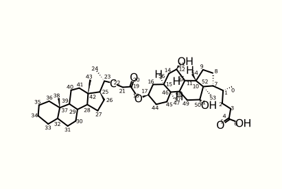 C[C@H](CCC(=O)O)[C@H]1CC[C@H]2[C@@H]3[C@H](O)C[C@@H]4C[C@H](OC(=O)CC[C@@H](C)[C@H]5CCC6C7CCC8CCCC[C@]8(C)C7CC[C@@]65C)CC[C@]4(C)[C@H]3C[C@H](O)[C@]12C